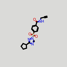 C#CCNC(=O)c1ccc(S(=O)(=O)n2cnc(C3CCCC3)n2)cc1